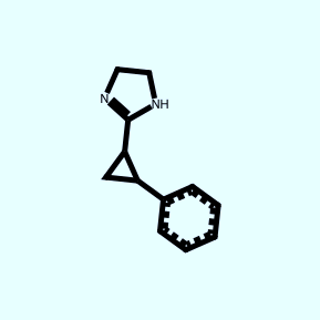 c1ccc(C2CC2C2=NCCN2)cc1